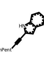 CCCCCC#Cc1cc2ccccc2[nH]1